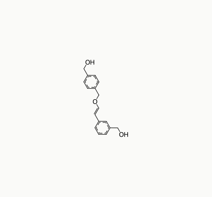 OCc1ccc(COC=Cc2cccc(CO)c2)cc1